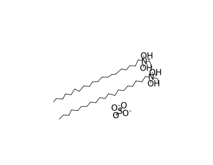 CCCCCCCCCCCCCCCCCCCC[N+](O)(O)CC.CCCCCCCCCCCCCCCCCCCC[N+](O)(O)CC.O=S(=O)([O-])[O-]